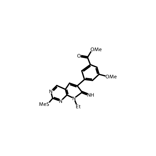 CCn1c(=N)c(-c2cc(OC)cc(C(=O)OC)c2)cc2cnc(SC)nc21